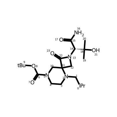 CC(C)CN1CCN(C(=O)OC(C)(C)C)CC12CN([C@H](C(N)=O)C(C)(C)O)C2=O